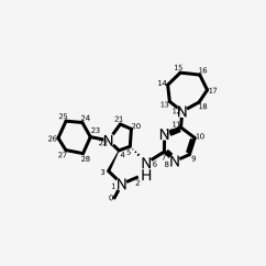 CN(C)C[C@@H]1[C@@H](Nc2nccc(N3CCCCCC3)n2)CCN1C1CCCCC1